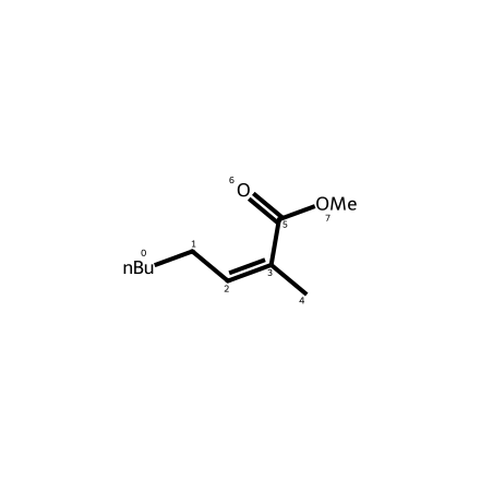 CCCCCC=C(C)C(=O)OC